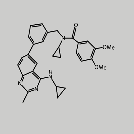 COc1ccc(C(=O)N(Cc2cccc(-c3ccc4nc(C)nc(NC5CC5)c4c3)c2)C2CC2)cc1OC